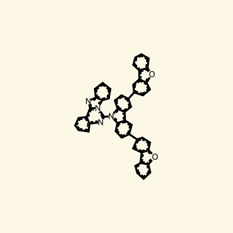 c1ccc2c(c1)nc(-n1c3ccc(-c4ccc5oc6ccccc6c5c4)cc3c3cc(-c4ccc5oc6ccccc6c5c4)ccc31)n1c3ccccc3nc21